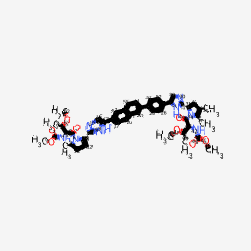 COC(=O)N[C@H](C(=O)N1[C@H](C)CC[C@H]1C1=NCC(c2ccc3cc(-c4ccc(C5CN=C([C@@H]6C[C@@H](C)[C@@H](C)N6C(=O)[C@@H](NC(=O)OC)[C@@H](C)OC)N5)cc4)ccc3c2)N1)[C@@H](C)OC